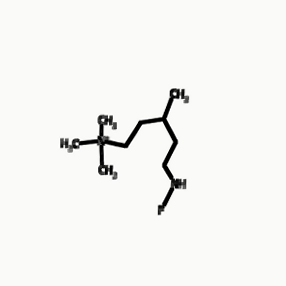 CC(CCNF)CC[N+](C)(C)C